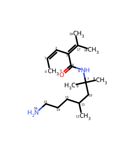 C/C=C\C(C(=O)NC(C)(C)CC(C)CCCN)=C(C)C